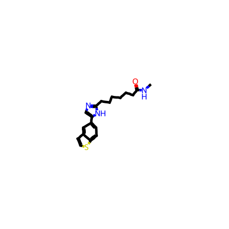 CNC(=O)CCCCCCc1ncc(-c2ccc3sccc3c2)[nH]1